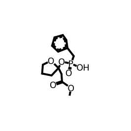 COC(=O)CC1(OP(=O)(O)Cc2ccccc2)CCCO1